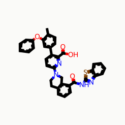 Cc1ccc(-c2ccc(N3CCc4cccc(C(=O)Nc5nc6ccccc6s5)c4C3)nc2C(=O)O)cc1Oc1ccccc1